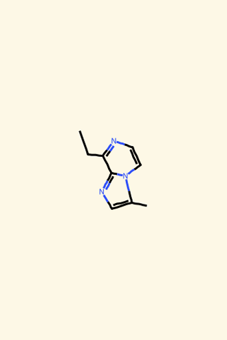 CCc1nccn2c(C)cnc12